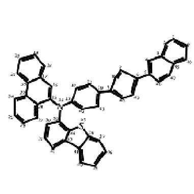 c1ccc2cc(-c3ccc(-c4ccc(N(c5cc6ccccc6c6ccccc56)c5cccc6c5sc5ccccc56)cc4)cc3)ccc2c1